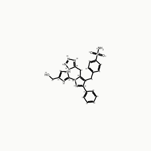 NS(=O)(=O)c1ccc(Cc2c(-c3ccccc3)nn(-c3nc(CO)cs3)c2Cc2nnn[nH]2)cc1